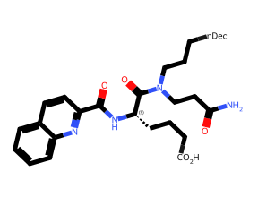 CCCCCCCCCCCCCN(CCC(N)=O)C(=O)[C@H](CCCC(=O)O)NC(=O)c1ccc2ccccc2n1